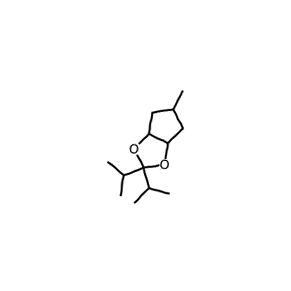 CC1CC2OC(C(C)C)(C(C)C)OC2C1